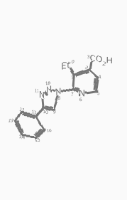 CCc1c(C(=O)O)ccnc1-n1cc(-c2ccccc2)nn1